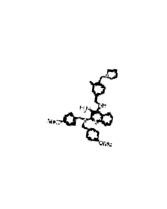 COc1ccc(CN(Cc2ccc(OC)cc2)c2nc3ccccc3c(NCc3ccc(CN4CCCC4)c(C)c3)c2N)cc1